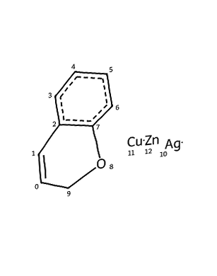 C1=Cc2ccccc2OC1.[Ag].[Cu].[Zn]